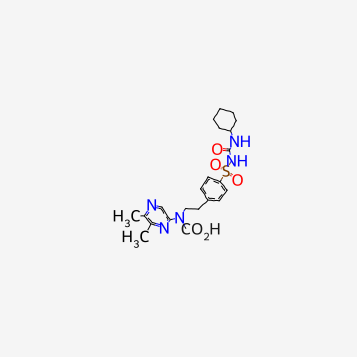 Cc1ncc(N(CCc2ccc(S(=O)(=O)NC(=O)NC3CCCCC3)cc2)C(=O)O)nc1C